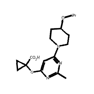 Cc1nc(OC2(C(=O)O)CC2)cc(N2CCC(OC(C)C)CC2)n1